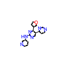 c1cncc(Nc2ncc(-c3ccncn3)c(-c3ccoc3)n2)c1